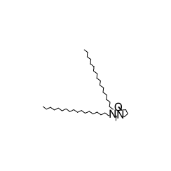 CCCCCCCCCCCCCCCCCCN(CCCCCCCCCCCCCCCCCC)C(C)N1CCCC1=O